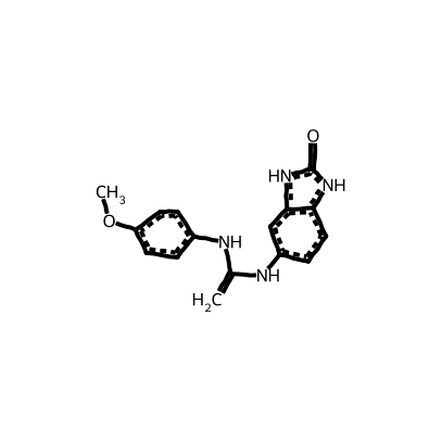 C=C(Nc1ccc(OC)cc1)Nc1ccc2[nH]c(=O)[nH]c2c1